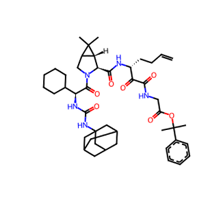 C=CCC[C@@H](NC(=O)[C@@H]1[C@@H]2C(CN1C(=O)[C@@H](NC(=O)NC13CC4CC(CC(C4)C1)C3)C1CCCCC1)C2(C)C)C(=O)C(=O)NCC(=O)OC(C)(C)c1ccccc1